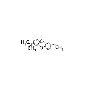 CCc1ccc(Oc2cccc(N(C)C)c2)c(Cl)c1